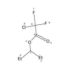 CCC(CC)OC(=O)C(F)(F)Cl